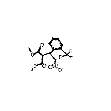 COC(=O)C(C(=O)OC)[C@H](C[N+](=O)[O-])c1ccccc1C(F)(F)F